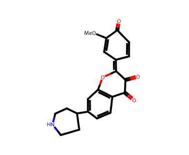 COC1=C/C(=C2\Oc3cc(C4CCNCC4)ccc3C(=O)C2=O)C=CC1=O